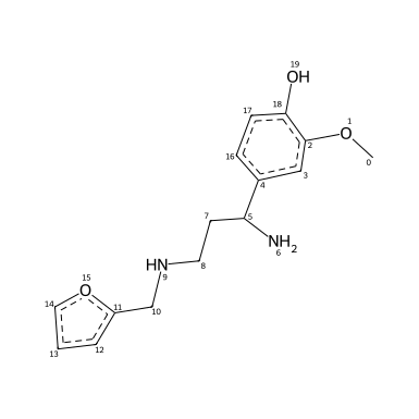 COc1cc(C(N)CCNCc2ccco2)ccc1O